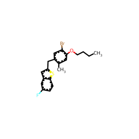 CCCCOc1cc(C)c(Cc2cc3cc(F)ccc3s2)cc1Br